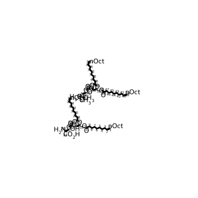 CCCCCCCC/C=C\CCCCCCCC(=O)OC[C@H](COP(=O)(O)OC[C@H](N)C(=O)O)OC(=O)CCCCCCC/C=C\CCCCCCCC.CCCCCCCC/C=C\CCCCCCCC(=O)OC[C@H](COP(=O)([O-])OCC[N+](C)(C)C)OC(=O)CCCCCCC/C=C\CCCCCCCC